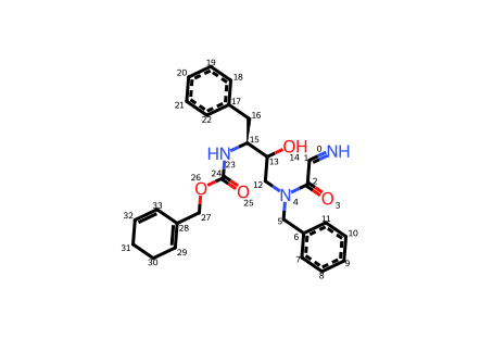 N=CC(=O)N(Cc1ccccc1)CC(O)[C@H](Cc1ccccc1)NC(=O)OCC1=CCCC=C1